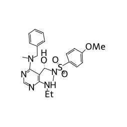 CCNc1ncnc(N(C)Cc2ccccc2)c1[C@H](O)N(C)S(=O)(=O)c1ccc(OC)cc1